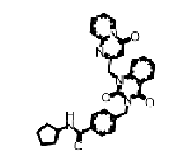 O=C(NC1CCCC1)c1ccc(Cn2c(=O)c3ccccc3n(Cc3cc(=O)n4ccccc4n3)c2=O)cc1